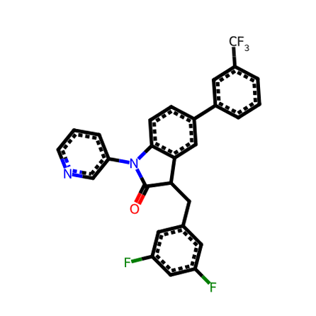 O=C1C(Cc2cc(F)cc(F)c2)c2cc(-c3cccc(C(F)(F)F)c3)ccc2N1c1cccnc1